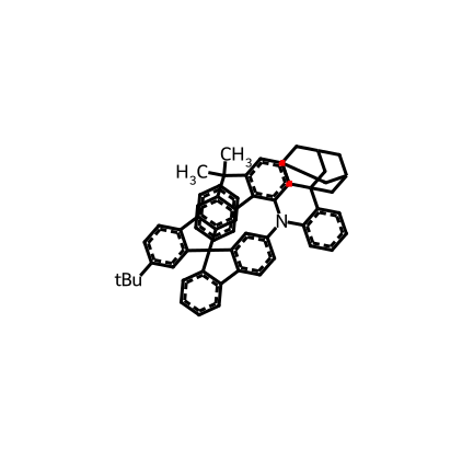 CC(C)(C)c1ccc2c(c1)C1(c3ccccc3-c3ccc(N(c4ccccc4C45CC6CC(CC(C6)C4)C5)c4cccc5c4-c4ccccc4C5(C)C)cc31)c1ccccc1-2